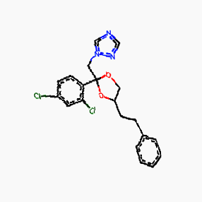 Clc1ccc(C2(Cn3cncn3)OCC(CCc3ccccc3)O2)c(Cl)c1